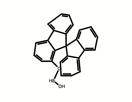 OBOc1cccc2c1C1(c3ccccc3-c3ccccc31)c1ccccc1-2